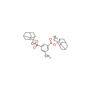 Cc1cc(C(=O)OC2(C)C3CC4CC(C3)CC2C4)cc(C(=O)OC2(C)C3CC4CC(C3)CC2C4)c1